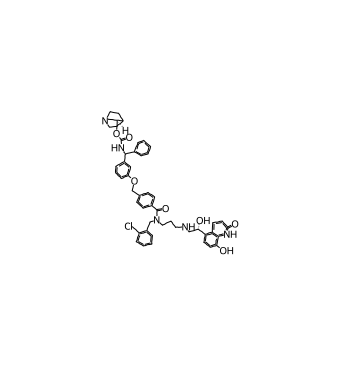 O=C(N[C@@H](c1ccccc1)c1cccc(OCc2ccc(C(=O)N(CCCNC[C@H](O)c3ccc(O)c4[nH]c(=O)ccc34)Cc3ccccc3Cl)cc2)c1)O[C@H]1CN2CCC1CC2